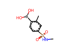 CNS(=O)(=O)c1ccc(B(O)O)c(C)c1